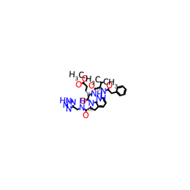 COC(=O)CC[C@H](NC(=O)[C@@H](NC(=O)Cc1ccccc1)C(C)C)C(=O)N1c2ncccc2C[C@H]1C(=O)NCc1nn[nH]n1